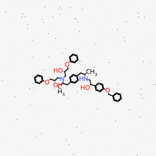 C[C@H](Cc1ccc(C[C@@H](C)N(C[C@H](O)COc2ccccc2)C[C@H](O)COc2ccccc2)cc1)NC[C@H](O)c1ccc(OCc2ccccc2)cc1